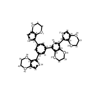 c1c(-c2scc3c2OCCO3)cc(-c2sc(-c3scc4c3OCCO4)c3c2OCCO3)cc1-c1scc2c1OCCO2